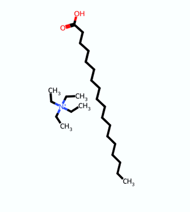 CCCCCCCCCCCCCCCCCC(=O)O.CC[N+](CC)(CC)CC